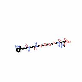 CC(=O)N[C@H](CCC(=O)O)C(=O)NCCOCCOCCOCCOCCNC(=O)CCCNC(=O)CCCc1c[nH]c2ccccc12